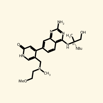 CCCC[C@](C)(CO)Nc1nc(N)nc2cc(-c3cc(=O)[nH]cc3CN(C)CCOC)ccc12